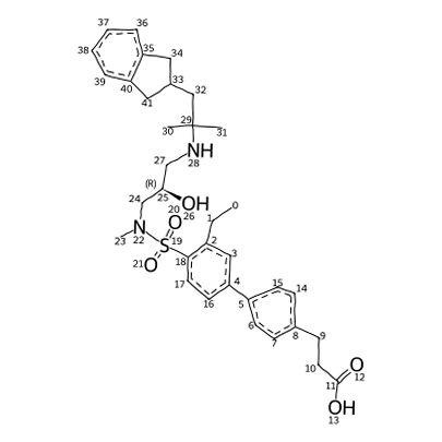 CCc1cc(-c2ccc(CCC(=O)O)cc2)ccc1S(=O)(=O)N(C)C[C@H](O)CNC(C)(C)CC1Cc2ccccc2C1